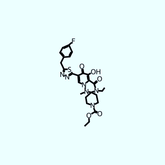 CCOC(=O)N1CCC2(CC1)N(CC)C(=O)c1c(O)c(=O)c(-c3nnc(Cc4ccc(F)cc4)s3)cn1N2C